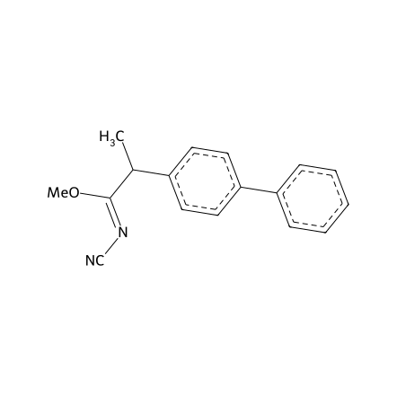 COC(=NC#N)C(C)c1ccc(-c2ccccc2)cc1